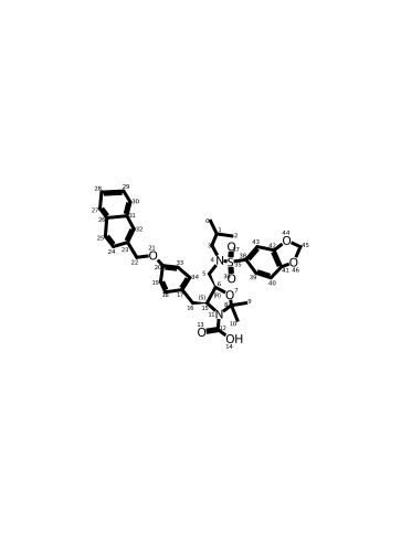 CC(C)CN(C[C@H]1OC(C)(C)N(C(=O)O)[C@H]1Cc1ccc(OCc2ccc3ccccc3c2)cc1)S(=O)(=O)c1ccc2c(c1)OCO2